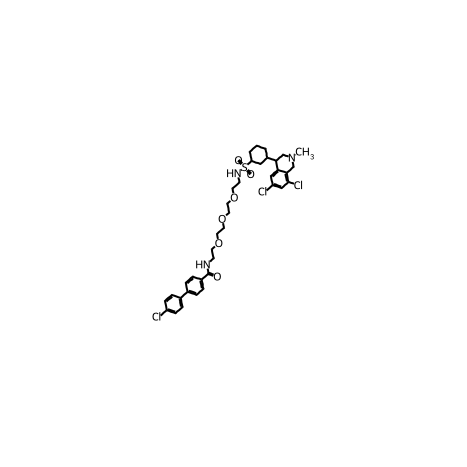 CN1Cc2c(Cl)cc(Cl)cc2C(C2CCCC(S(=O)(=O)NCCOCCOCCOCCNC(=O)c3ccc(-c4ccc(Cl)cc4)cc3)C2)C1